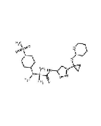 CN(C1CCN(S(C)(=O)=O)CC1)C(C)(C)C(=O)NC1CC(C2(OC3CCCCO3)CC2)=NO1